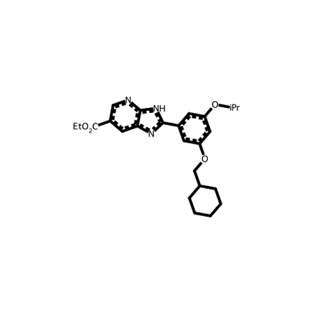 CCOC(=O)c1cnc2[nH]c(-c3cc(OCC4CCCCC4)cc(OC(C)C)c3)nc2c1